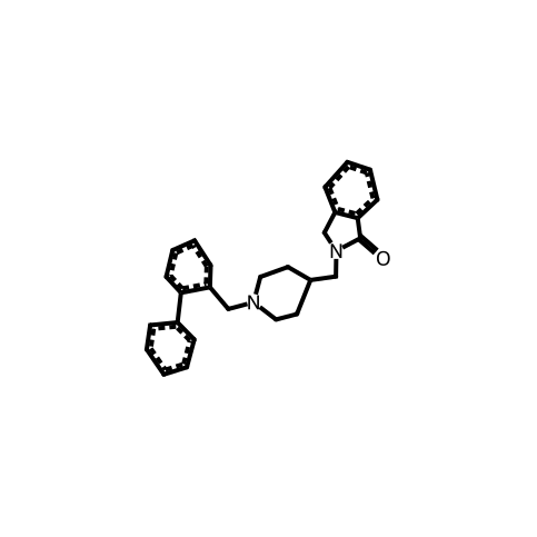 O=C1c2ccccc2CN1CC1CCN(Cc2ccccc2-c2ccccc2)CC1